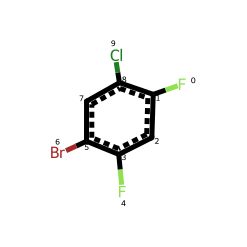 Fc1cc(F)c(Br)cc1Cl